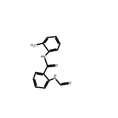 Cc1ccccc1NC(=O)c1ccccc1NC=O